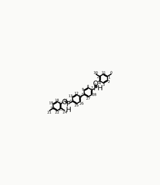 Cc1ccc(OPc2ccc(-c3ccc(POc4ccc(C)cc4C)cc3)cc2)c(C)c1